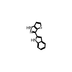 c1ccc2[nH]c(-c3n[nH]c4ccsc34)cc2c1